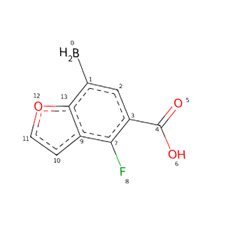 Bc1cc(C(=O)O)c(F)c2ccoc12